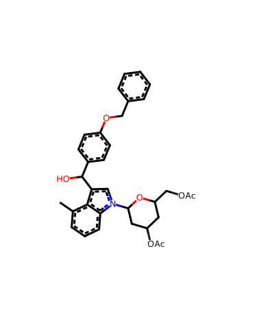 CC(=O)OCC1CC(OC(C)=O)CC(n2cc(C(O)c3ccc(OCc4ccccc4)cc3)c3c(C)cccc32)O1